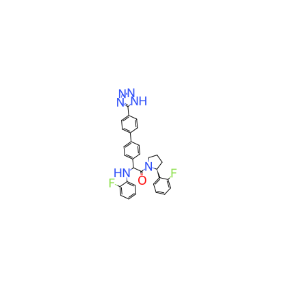 O=C(C(Nc1ccccc1F)c1ccc(-c2ccc(-c3nnn[nH]3)cc2)cc1)N1CCC[C@H]1c1ccccc1F